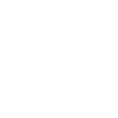 CCCCCCCCCCCCCCCCCCCN(CCCCCCCCCCCCCCCCCCC)C(=S)[S-].CCCCCCCCCCCCCCCCCCCN(CCCCCCCCCCCCCCCCCCC)C(=S)[S-].[Pb+2]